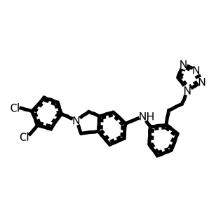 Clc1ccc(N2Cc3ccc(Nc4ccccc4CCn4cnnn4)cc3C2)cc1Cl